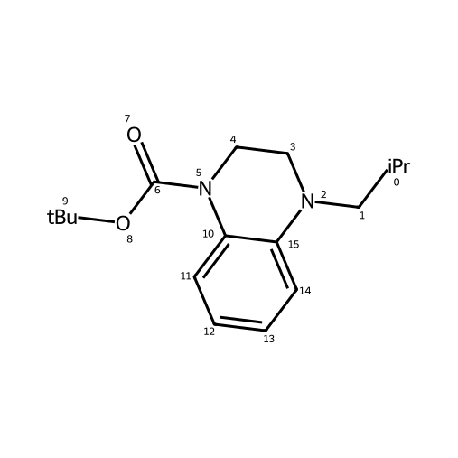 CC(C)CN1CCN(C(=O)OC(C)(C)C)c2ccccc21